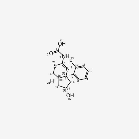 O=C(O)NC1=N[C@@]2(c3ccccc3F)C[C@H](O)C[C@H]2CS1